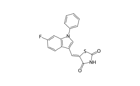 O=C1NC(=O)/C(=C/c2cn(-c3ccccc3)c3cc(F)ccc23)S1